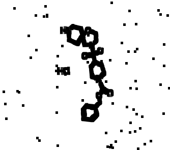 Cl.O=C(OCc1ccccc1)N1CCC(S(=O)(=O)N2CCOC3(CCNCC3)C2)CC1